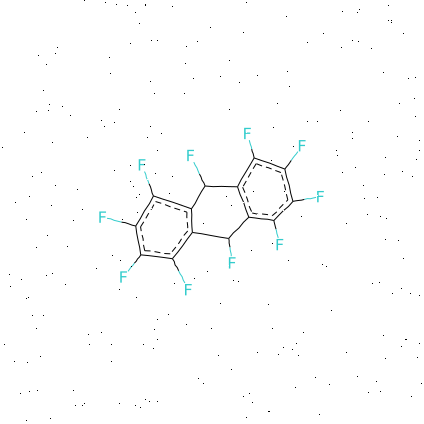 Fc1c(F)c(F)c2c(c1F)C(F)c1c(F)c(F)c(F)c(F)c1C2F